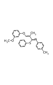 COc1cccc(O/C=C(C)/C(=N/c2ccc(C)cc2)Sc2ccccc2)c1